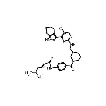 CN(C)C/C=C/C(=O)Nc1ccc(C(=O)N2CCCC(CNc3ncc(Cl)c(-c4c[nH]c5c4CCC=C5)n3)C2)cc1